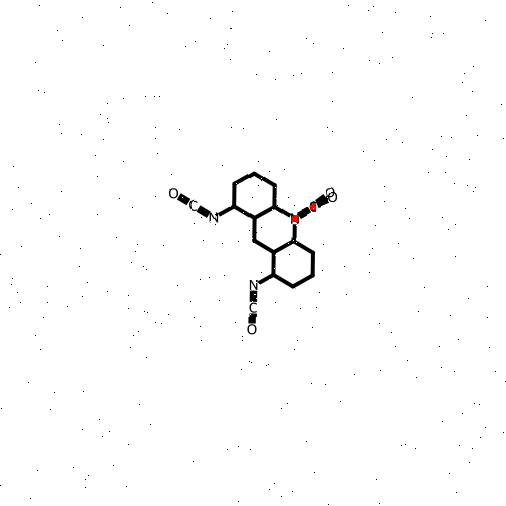 O=C=NC1CCCC(N=C=O)C1CC1C(N=C=O)CCCC1N=C=O